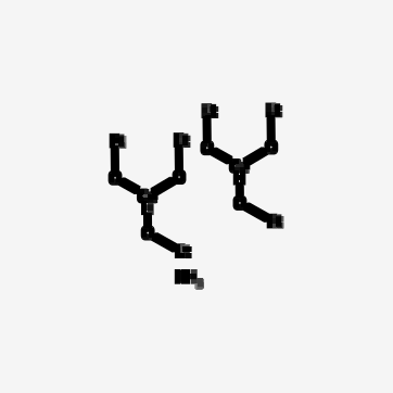 CC[O][GeH]([O]CC)[O]CC.CC[O][GeH]([O]CC)[O]CC.N